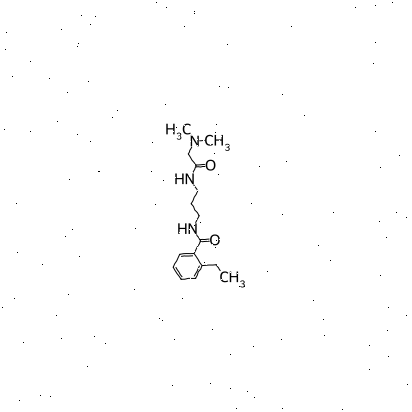 CCc1ccccc1C(=O)NCCCNC(=O)CN(C)C